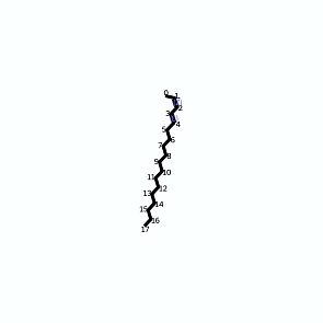 C/[C]=C\C=C\CCCCCCCCCCCCC